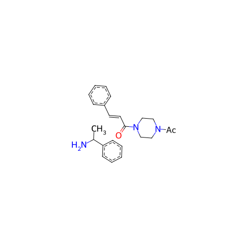 CC(=O)N1CCN(C(=O)C=Cc2ccccc2)CC1.CC(N)c1ccccc1